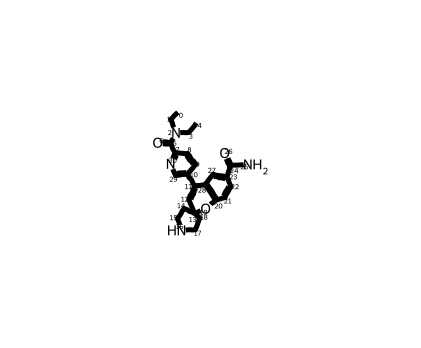 CCN(CC)C(=O)c1ccc(C2=CC3(CCNCC3)Oc3ccc(C(N)=O)cc32)cn1